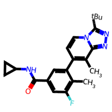 Cc1c(F)cc(C(=O)NC2CC2)cc1-c1ccn2c(C(C)(C)C)nnc2c1C